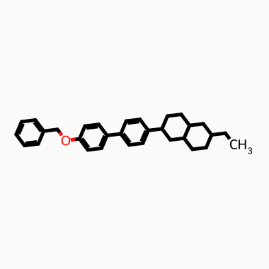 CCC1CCC2CC(c3ccc(-c4ccc(OCc5ccccc5)cc4)cc3)CCC2C1